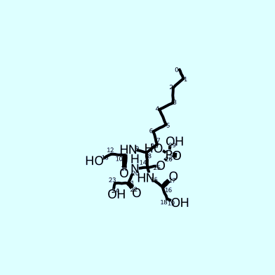 CCCCCCCCC(NC(=O)CO)C(NC(=O)CO)(NC(=O)CO)OP(=O)(O)O